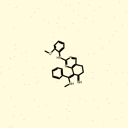 CN/C(=C1\C(=N)CCc2cnc(Nc3ccccc3OC)nc21)c1ccccc1